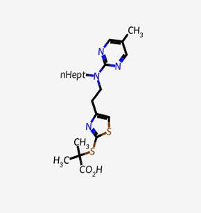 CCCCCCCN(CCc1csc(SC(C)(C)C(=O)O)n1)c1ncc(C)cn1